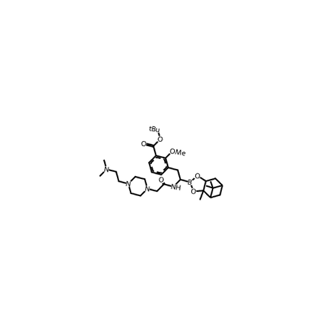 COc1c(CC(NC(=O)CN2CCN(CCN(C)C)CC2)B2OC3CC4CC(C4(C)C)C3(C)O2)cccc1C(=O)OC(C)(C)C